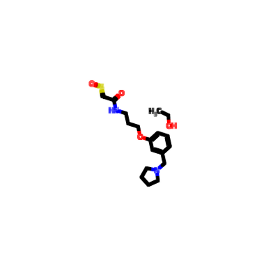 CCO.O=S=CC(=O)NCCCOc1cccc(CN2CCCC2)c1